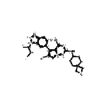 COc1nc(NC2CCC3(CC2)COC3)nn2cc(F)c(-c3ccc4nnn([C@H](C)CF)c4c3)c12